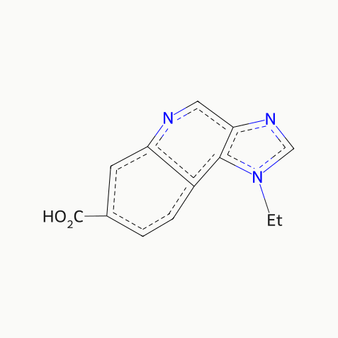 CCn1cnc2cnc3cc(C(=O)O)ccc3c21